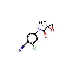 C[C@]1(C(=O)Nc2ccc(C#N)c(Cl)c2)CO1